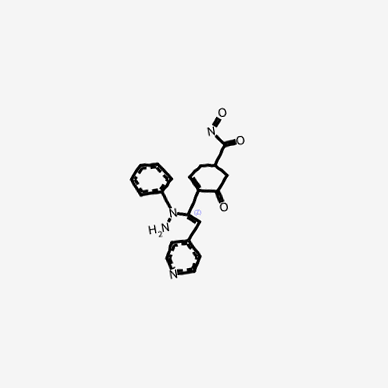 NN(/C(=C\c1ccncc1)C1=CCC(C(=O)N=O)CC1=O)c1ccccc1